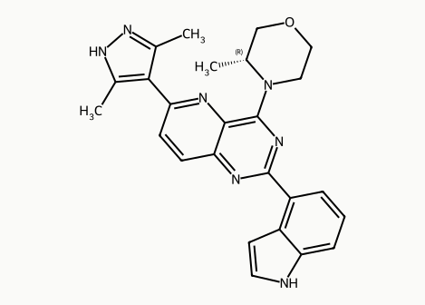 Cc1n[nH]c(C)c1-c1ccc2nc(-c3cccc4[nH]ccc34)nc(N3CCOC[C@H]3C)c2n1